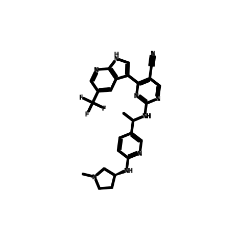 CC(Nc1ncc(C#N)c(-c2c[nH]c3ncc(C(F)(F)F)cc23)n1)c1ccc(N[C@H]2CCN(C)C2)nc1